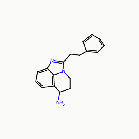 NC1CCn2c(CCc3ccccc3)nc3cccc1c32